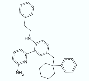 Nc1cccc(-c2cc(CC3(c4ccccc4)CCCCC3)ccc2NCCc2ccccc2)n1